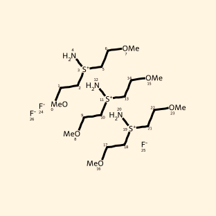 COCC[S+](N)CCOC.COCC[S+](N)CCOC.COCC[S+](N)CCOC.[F-].[F-].[F-]